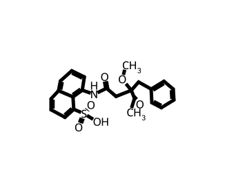 COC(CC(=O)Nc1cccc2cccc(S(=O)(=O)O)c12)(Cc1ccccc1)C(C)=O